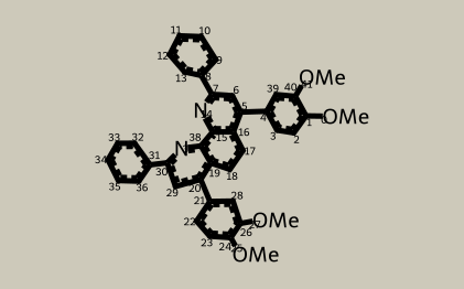 COc1ccc(-c2cc(-c3ccccc3)nc3c2ccc2c(-c4ccc(OC)c(OC)c4)cc(-c4ccccc4)nc23)cc1OC